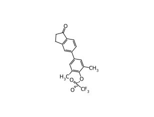 Cc1cc(-c2ccc3c(c2)CCC3=O)cc(C)c1OS(=O)(=O)C(F)(F)F